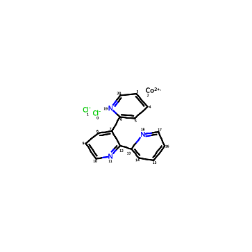 [Cl-].[Cl-].[Co+2].c1ccc(-c2cccnc2-c2ccccn2)nc1